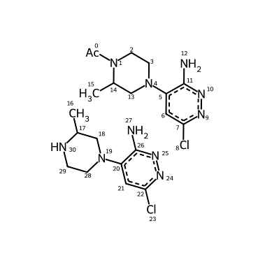 CC(=O)N1CCN(c2cc(Cl)nnc2N)CC1C.CC1CN(c2cc(Cl)nnc2N)CCN1